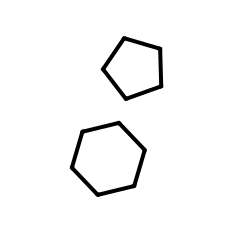 C1CCCC1.C1CCCCC1